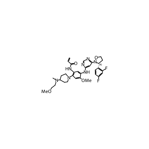 C=CC(=O)Nc1cc(Nc2cc(N3OCC[C@@H]3c3ccc(F)cc3F)ncn2)c(OC)cc1N1CCC(N(C)CCOC)CC1